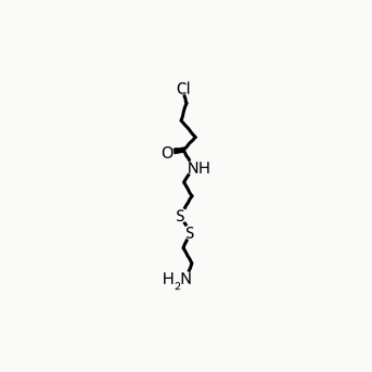 NCCSSCCNC(=O)CCCCl